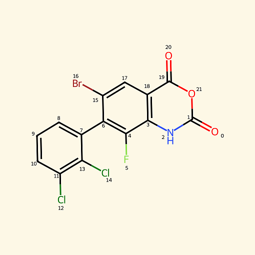 O=c1[nH]c2c(F)c(-c3cccc(Cl)c3Cl)c(Br)cc2c(=O)o1